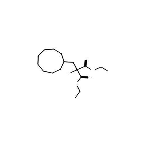 CCOC(=O)C(F)(CC1CCCCCCCC1)C(=O)OCC